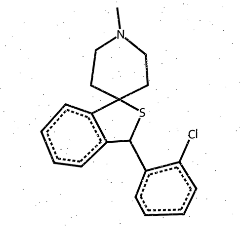 CN1CCC2(CC1)SC(c1ccccc1Cl)c1ccccc12